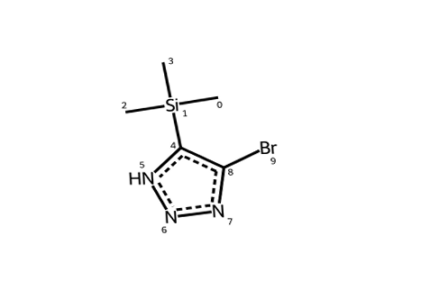 C[Si](C)(C)c1[nH]nnc1Br